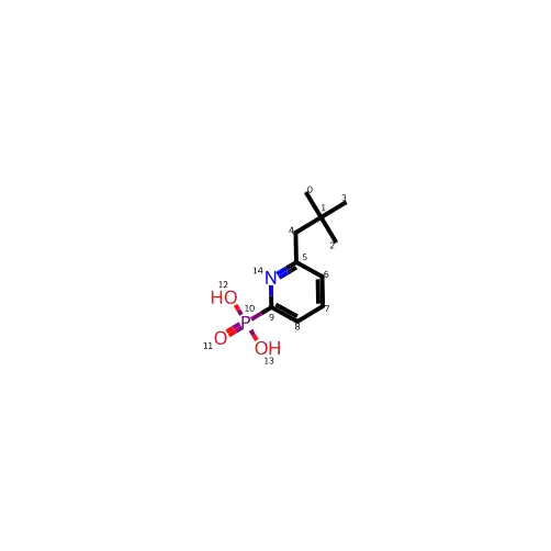 CC(C)(C)Cc1cccc(P(=O)(O)O)n1